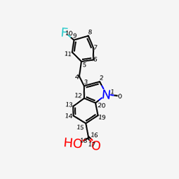 Cn1cc(Cc2cccc(F)c2)c2ccc(C(=O)O)cc21